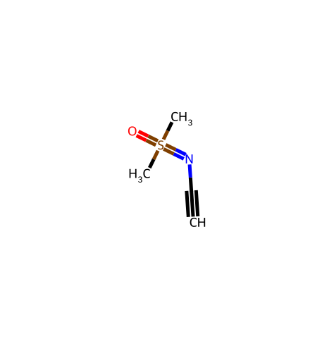 C#CN=S(C)(C)=O